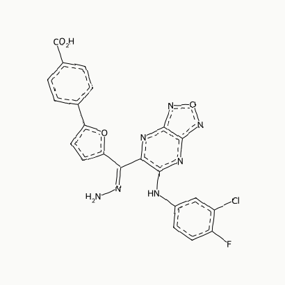 NN=C(c1ccc(-c2ccc(C(=O)O)cc2)o1)c1nc2nonc2nc1Nc1ccc(F)c(Cl)c1